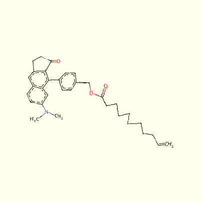 C=CCCCCCCCCC(=O)OCc1ccc(-c2c3c(cc4ccc(N(C)C)cc24)CCC3=O)cc1